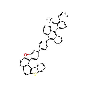 C=Cc1cccc(-c2c3ccccc3c(-c3ccc(-c4ccc5c(c4)oc4ccc6ccc7sc8ccccc8c7c6c45)cc3)c3ccccc23)c1C=C